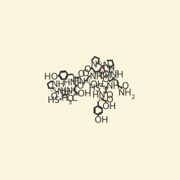 CC[C@H](C)[C@H](NC(=O)[C@H](CO)NC(=O)[C@H](Cc1ccc(O)cc1)NC(=O)[C@@H](NC(=O)[C@H](CS)NC(=O)[C@@H]1CCCN1)[C@@H](C)O)C(=O)N1CCC[C@H]1C(=O)N1CCC[C@H]1C(=O)N[C@@H](CCC(N)=O)C(=O)N[C@@H](CS)C(=O)N[C@@H](Cc1ccc(O)cc1)C(=O)O